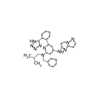 CC(C)CN(Cc1ccccc1)c1cc(Nc2ccn3nccc3n2)cc(-c2ccccc2-c2nnn[nH]2)n1